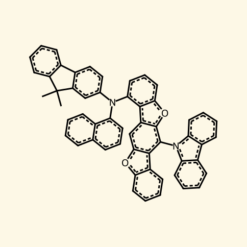 CC1(C)c2ccccc2-c2ccc(N(c3cccc4ccccc34)c3cccc4oc5c(-n6c7ccccc7c7ccccc76)c6c(cc5c34)oc3ccccc36)cc21